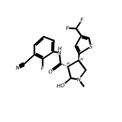 CN1C[C@H](c2cc(C(F)F)cs2)[C@@H](C(=O)Nc2cccc(C#N)c2F)C1O